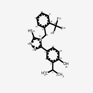 CC(C)c1cc(-c2nnc(S)n2Cc2ccccc2C(F)(F)F)ccc1O